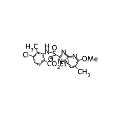 CCOC(=O)c1ccc(Cl)c(C)c1NS(=O)(=O)c1nc2nc(OC)c(C)cn2n1